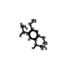 CCSc1cc(SCC)c(C(C)N)cc1C(C)N